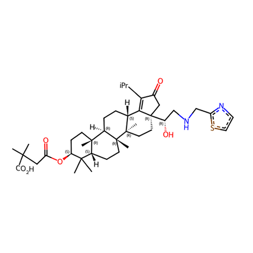 CC(C)C1=C2[C@H]3CC[C@@H]4[C@@]5(C)CC[C@H](OC(=O)CC(C)(C)C(=O)O)C(C)(C)[C@H]5CC[C@@]4(C)[C@]3(C)CC[C@@]2([C@@H](O)CNCc2nccs2)CC1=O